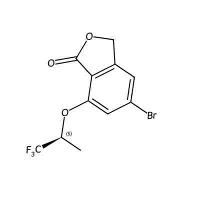 C[C@H](Oc1cc(Br)cc2c1C(=O)OC2)C(F)(F)F